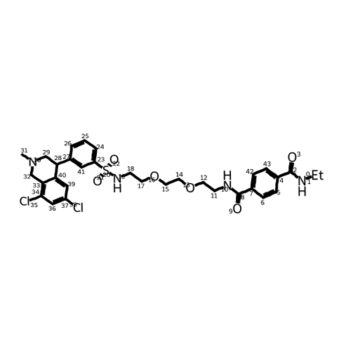 CCNC(=O)c1ccc(C(=O)NCCOCCOCCNS(=O)(=O)c2cccc(C3CN(C)Cc4c(Cl)cc(Cl)cc43)c2)cc1